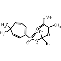 CCC(CC)(NS(=O)(=O)C1=CC=CC(C)(C)C=C1)OC(C)C(=O)OC